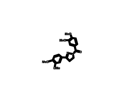 COc1ccc(C(=O)N2CCC(c3ccc(OC)c(OC)c3)=N2)cc1OC